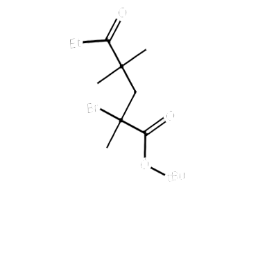 CCC(=O)C(C)(C)CC(C)(Br)C(=O)OC(C)(C)C